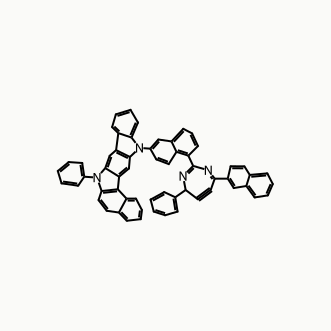 C1#CC(c2ccccc2)N=C(c2cccc3cc(-n4c5ccccc5c5cc6c(cc54)c4c5ccccc5ccc4n6-c4ccccc4)ccc23)N=C1c1ccc2ccccc2c1